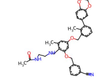 CC(=O)NCCNCc1c(C)cc(OCc2cccc(-c3ccc4c(c3)OCCO4)c2C)cc1OCc1cccc(C#N)c1